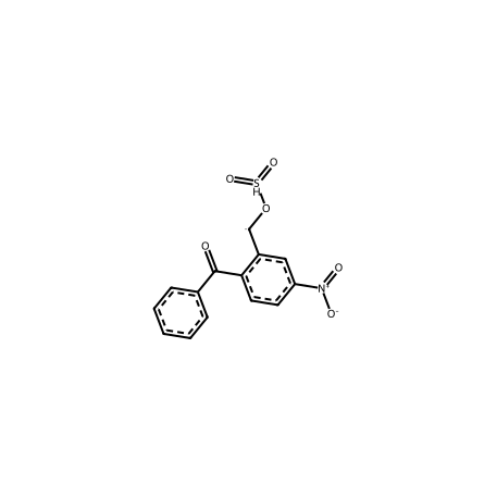 O=C(c1ccccc1)c1ccc([N+](=O)[O-])cc1[CH]O[SH](=O)=O